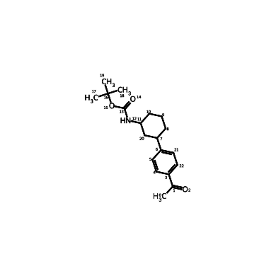 CC(=O)c1ccc(C2CCCC(NC(=O)OC(C)(C)C)C2)cc1